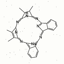 CC1=C(C)c2nc1nc1[nH]c(nc3nc(nc4[nH]c(n2)c2ccccc42)-c2ccccc2-3)C(C)C1C